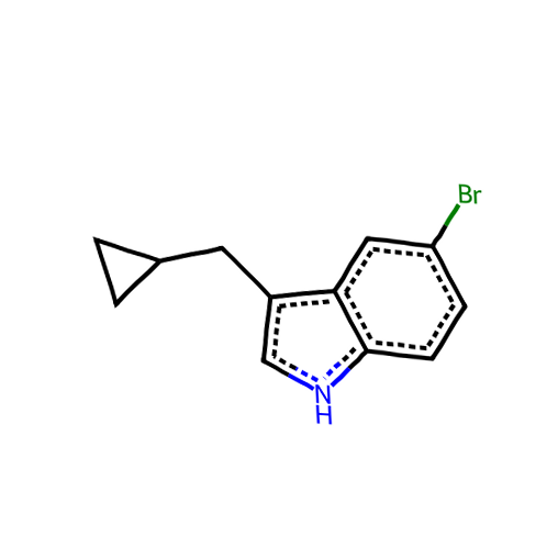 Brc1ccc2[nH]cc(CC3CC3)c2c1